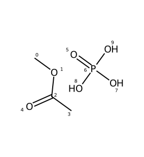 COC(C)=O.O=P(O)(O)O